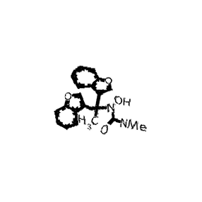 CNC(=O)N(O)C(C)(c1coc2ccccc12)c1coc2ccccc12